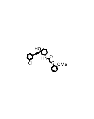 COc1ccccc1OCC(=O)N[C@H]1CCC[C@@](O)(C#Cc2cccc(Cl)c2)C1